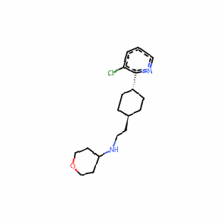 Clc1cccnc1[C@H]1CC[C@H](CCNC2CCOCC2)CC1